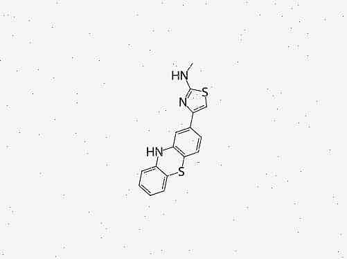 CNc1nc(-c2ccc3c(c2)Nc2ccccc2S3)cs1